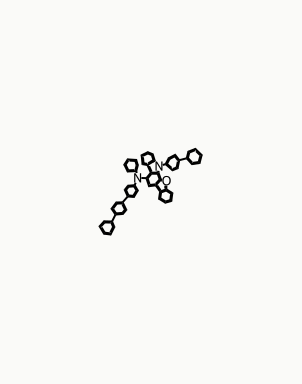 c1ccc(-c2ccc(-c3ccc(N(c4ccccc4)c4cc5c6ccccc6oc5c5c4c4ccccc4n5-c4ccc(-c5ccccc5)cc4)cc3)cc2)cc1